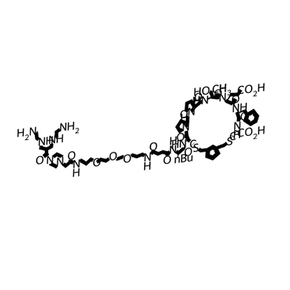 CCCC[C@H](NC(=O)CCC(=O)NCCCOCCOCCOCCCNC(=O)CN1CCN(C(=O)C(CNCCN)CNCCN)CC1)C(=O)N[C@H]1CSCc2cccc(c2)CSC[C@@H](C(=O)O)NC(=O)[C@H](Cc2ccccc2)NC(=O)[C@H](CCC(=O)O)NC(=O)[C@H]([C@@H](C)O)NC(=O)[C@@H]2CCCN2C(=O)[C@@H]2CCCN2C1=O